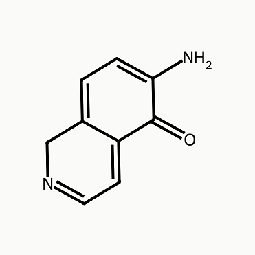 NC1=CC=C2CN=CC=C2C1=O